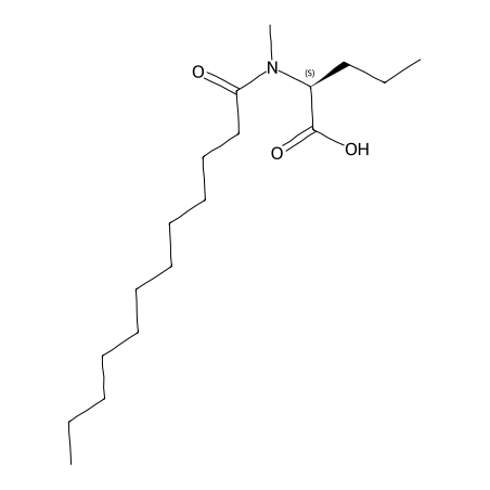 CCCCCCCCCCCC(=O)N(C)[C@@H](CCC)C(=O)O